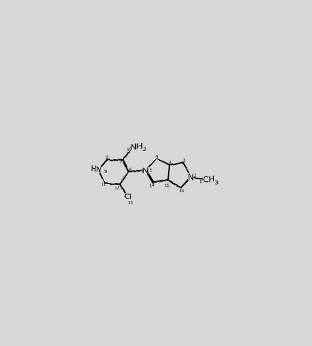 CN1CC2CN(C3C(N)CNCC3Cl)CC2C1